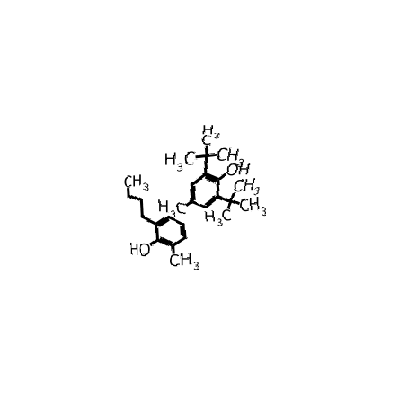 CCCCc1cccc(C)c1O.Cc1cc(C(C)(C)C)c(O)c(C(C)(C)C)c1